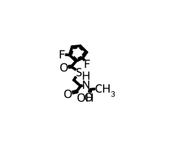 CC(=O)NC(CSC(=O)c1c(F)cccc1F)C(=O)O